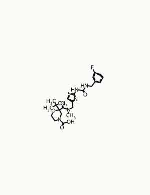 CN(Cc1csc(NC(=O)NCc2cccc(F)c2)n1)C(=O)C1(C(C)(C)C)CN(C(=O)O)CCO1